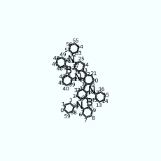 c1ccc(N2c3ccccc3B3c4ccccc4-n4c5ccc6c7ccc8c9c7n(c6c5c5ccc2c3c54)-c2ccccc2B9c2ccccc2N8c2ccccc2)cc1